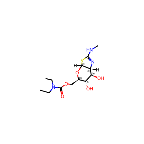 CCN(CC)C(=O)OC[C@H]1O[C@@H]2SC(NC)=N[C@@H]2[C@@H](O)[C@@H]1O